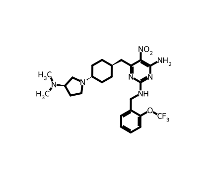 CN(C)[C@@H]1CCN([C@H]2CC[C@H](Cc3nc(NCc4ccccc4OC(F)(F)F)nc(N)c3[N+](=O)[O-])CC2)C1